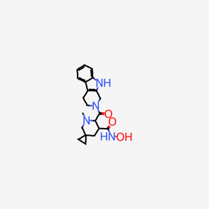 CN1CC2(CC2)CC(C(=O)NO)C1C(=O)N1CCc2c([nH]c3ccccc23)C1